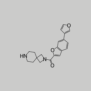 O=C(c1cc2ccc(-c3ccoc3)cc2o1)N1CC2(CCNCC2)C1